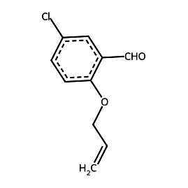 C=CCOc1ccc(Cl)cc1C=O